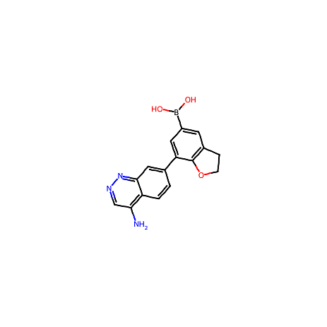 Nc1cnnc2cc(-c3cc(B(O)O)cc4c3OCC4)ccc12